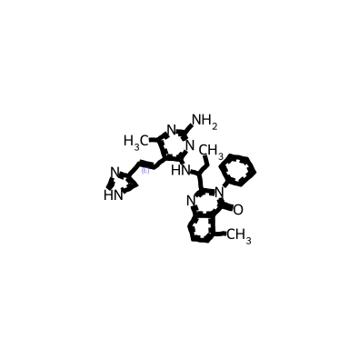 CCC(Nc1nc(N)nc(C)c1/C=C/c1c[nH]cn1)c1nc2cccc(C)c2c(=O)n1-c1ccccc1